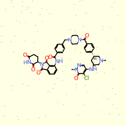 CN1C[C@H](Nc2cnn(C)c(=O)c2Cl)C[C@H](c2ccc(C(=O)N3CCN(Cc4ccc(C(=O)Nc5cccc6c5C(=O)N(C5CCC(=O)NC5=O)C6=O)cc4)CC3)cc2)C1